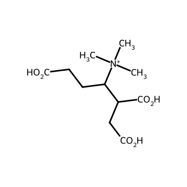 C[N+](C)(C)C(CCC(=O)O)C(CC(=O)O)C(=O)O